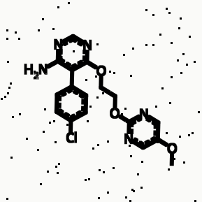 COc1cnc(OCCOc2ncnc(N)c2-c2ccc(Cl)cc2)nc1